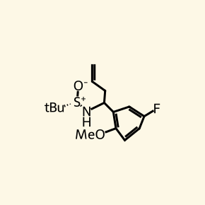 C=CCC(N[S@@+]([O-])C(C)(C)C)c1cc(F)ccc1OC